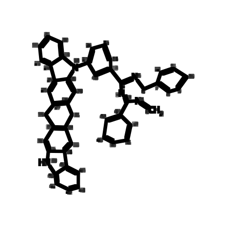 C=N/C(=N\C(=N/Cc1ccccc1)c1cccc(-n2c3ccccc3c3cc4c(cc32)Cc2cc3c(cc2C4)[nH]c2ccccc23)c1)c1ccccc1